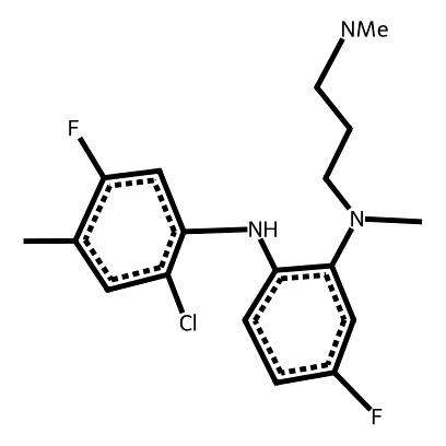 CNCCCN(C)c1cc(F)ccc1Nc1cc(F)c(C)cc1Cl